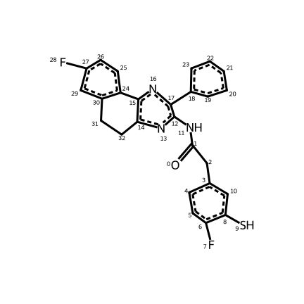 O=C(Cc1ccc(F)c(S)c1)Nc1nc2c(nc1-c1ccccc1)-c1ccc(F)cc1CC2